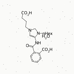 CCCCCCN1CN(CCCC(=O)O)C=C1NC(=O)c1ccccc1C(=O)O.O